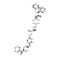 O=C(CCc1ccc(CN2CCN(C(=O)N3CCCCC3)CC2)cc1)NCCN1CCC(OC(=O)Nc2ccccc2-c2ccccc2)CC1